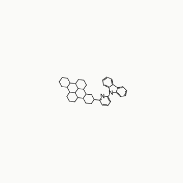 c1cc(C2CCC3C(C2)C2CCCC4C5CCCCC5C5CCCC3C5C42)nc(-n2c3ccccc3c3ccccc32)c1